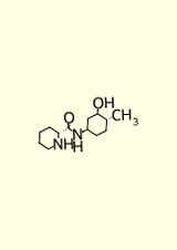 C[C@@H]1CC[C@@H](NC(=O)[C@H]2CCCCN2)C[C@H]1O